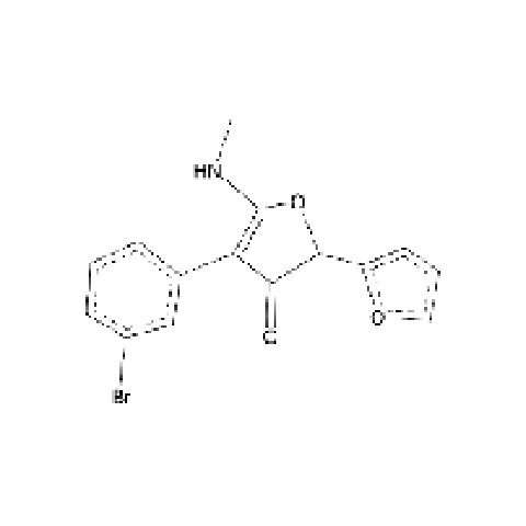 CNC1=C(c2cccc(Br)c2)C(=O)C(c2ccco2)O1